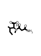 CCC(C)C(C(=O)O)N(C)C(=O)CC(N)=O